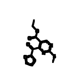 CCOC(=O)c1cnc(SC)nc1C(=O)c1ccco1